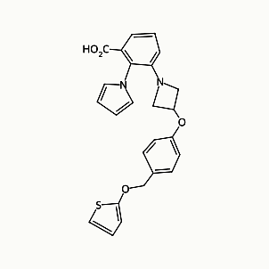 O=C(O)c1cccc(N2CC(Oc3ccc(COc4cccs4)cc3)C2)c1-n1cccc1